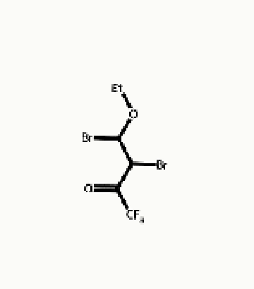 CCOC(Br)C(Br)C(=O)C(F)(F)F